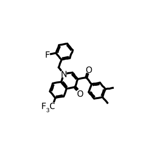 Cc1ccc(C(=O)c2cn(Cc3ccccc3F)c3ccc(C(F)(F)F)cc3c2=O)cc1C